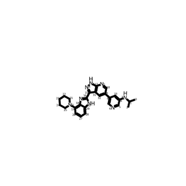 CC(C)Nc1cncc(-c2cnc3[nH]nc(-c4nc5c(N6CCCCC6)cccc5[nH]4)c3c2)c1